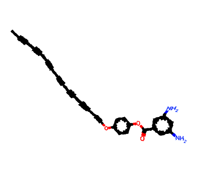 CC#CC#CC#CC#CC#CC#CC#COc1ccc(OC(=O)c2cc(N)cc(N)c2)cc1